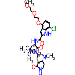 C=NC[C@H](C[C@@H]1CCCNC1=O)NC(=O)[C@H](CC(C)(C)C)NC(=O)c1cc2c(OCCOCCOC)ccc(Cl)c2[nH]1